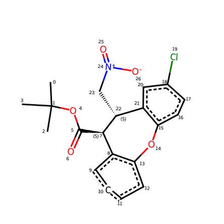 CC(C)(C)OC(=O)[C@@H]1c2ccccc2Oc2ccc(Cl)cc2[C@H]1C[N+](=O)[O-]